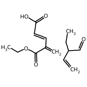 C=C(C=CC(=O)O)C(=O)OCC.C=CC(C=O)CC